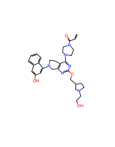 C=CC(=O)N1CCN(c2nc(OCC3CCN(CCO)C3)nc3c2CCN(c2cc(O)cc4ccccc24)C3)CC1